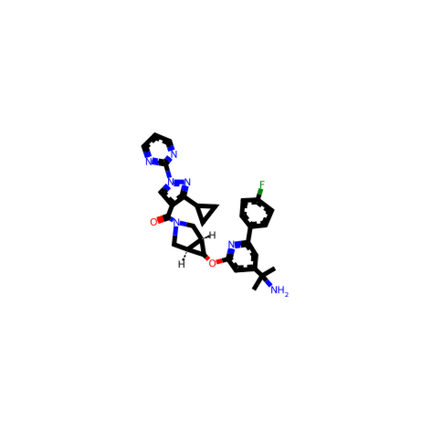 CC(C)(N)c1cc(OC2[C@H]3CN(C(=O)c4cn(-c5ncccn5)nc4C4CC4)C[C@@H]23)nc(-c2ccc(F)cc2)c1